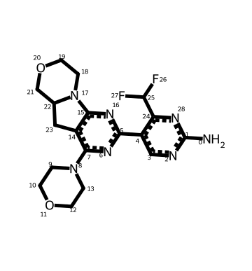 Nc1ncc(-c2nc(N3CCOCC3)c3c(n2)N2CCOCC2C3)c(C(F)F)n1